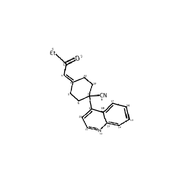 CCC(=O)C=C1CCC(C#N)(c2ccnc3ccccc23)CC1